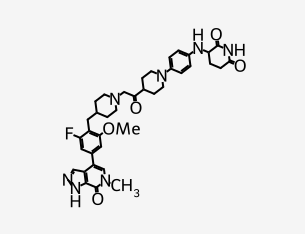 COc1cc(-c2cn(C)c(=O)c3[nH]ncc23)cc(F)c1CC1CCN(CC(=O)C2CCN(c3ccc(NC4CCC(=O)NC4=O)cc3)CC2)CC1